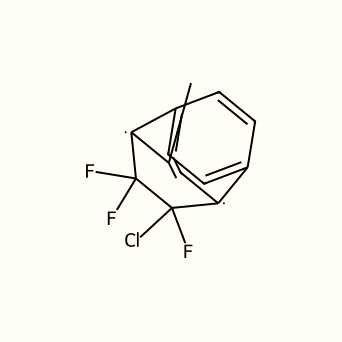 CC1=C[C]2c3ccc(cc3)[C]1C(F)(F)C2(F)Cl